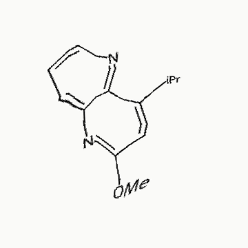 COc1cc(C(C)C)c2ncccc2n1